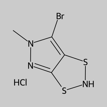 Cl.Cn1nc2c(c1Br)SNS2